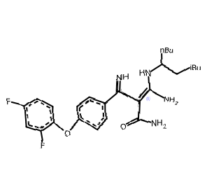 CCCCC(CC(C)CC)N/C(N)=C(\C(=N)c1ccc(Oc2ccc(F)cc2F)cc1)C(N)=O